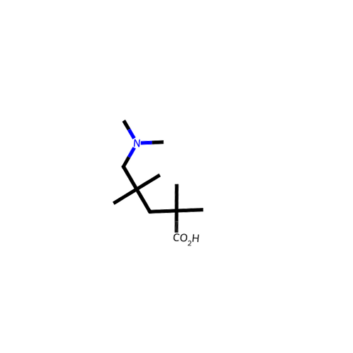 CN(C)CC(C)(C)CC(C)(C)C(=O)O